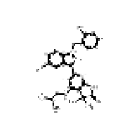 CC1(C)C(=O)Nc2nc(-c3nn(Cc4ccccc4F)c4ncc(F)cc34)nc(NCC(N)C(F)(F)F)c21